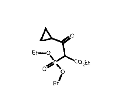 CCOC(=O)C(C(=O)C1CC1)P(=O)(OCC)OCC